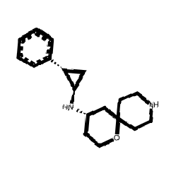 c1ccc([C@@H]2C[C@H]2N[C@H]2CCOC3(CCNCC3)C2)cc1